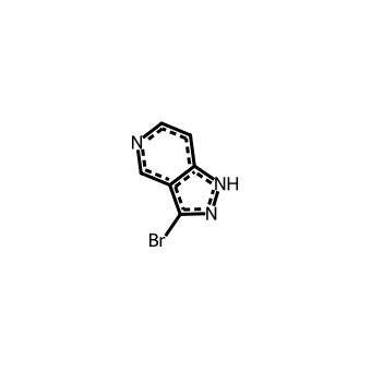 Brc1n[nH]c2ccncc12